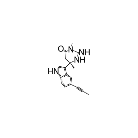 CC#Cc1ccc2[nH]cc([C@]3(C)CC(=O)N(C)C(=N)N3)c2c1